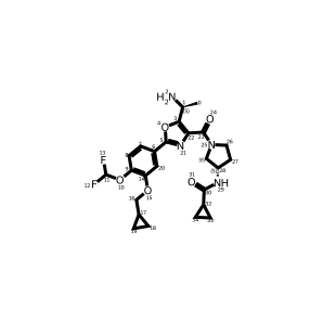 C[C@H](N)c1oc(-c2ccc(OC(F)F)c(OCC3CC3)c2)nc1C(=O)N1CC[C@H](NC(=O)C2CC2)C1